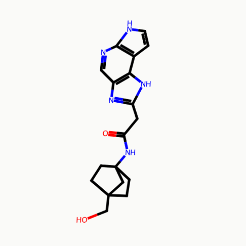 O=C(Cc1nc2cnc3[nH]ccc3c2[nH]1)NC12CCC(CO)(CC1)C2